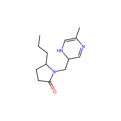 CCCC1CCC(=O)N1CC1C=NC(C)=CN1